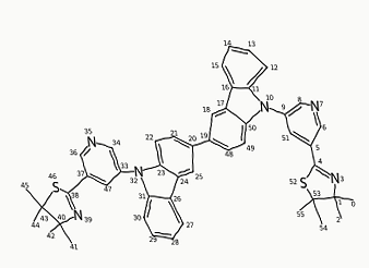 CC1(C)N=C(c2cncc(-n3c4ccccc4c4cc(-c5ccc6c(c5)c5ccccc5n6-c5cncc(C6=NC(C)(C)C(C)(C)S6)c5)ccc43)c2)SC1(C)C